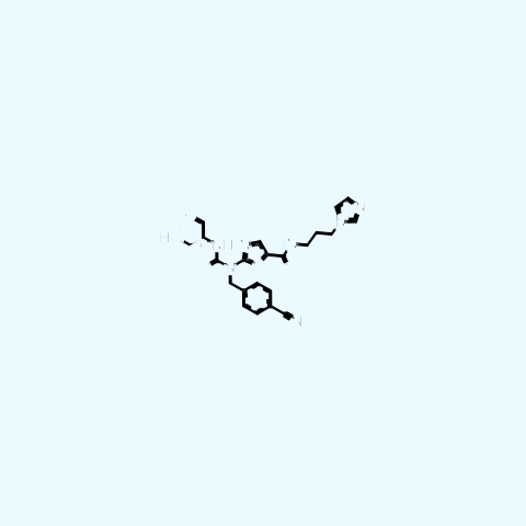 C=C[C@H](CO)NC(=O)N(Cc1ccc(C#N)cc1)c1ncc(C(=O)NCCCn2ccnc2)s1